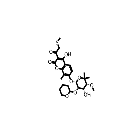 CO[C@@H]1[C@H](O)[C@@H](OC2CCCCO2)[C@H](Oc2ccc3c(O)c(C(=O)CSC)c(=O)oc3c2C)OC1(C)C